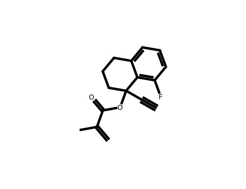 C#CC1(OC(=O)C(=C)C)CCCc2cccc(F)c21